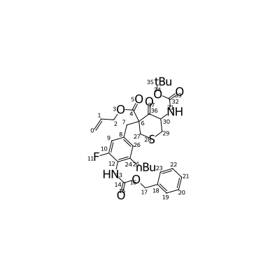 C=CCOC(=O)C1(Cc2cc(F)c(NC(=O)OCc3ccccc3)c(CCCC)c2)CSCC(NC(=O)OC(C)(C)C)C1=O